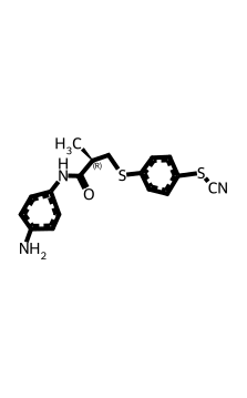 C[C@@H](CSc1ccc(SC#N)cc1)C(=O)Nc1ccc(N)cc1